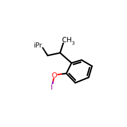 CC(C)CC(C)c1ccccc1OI